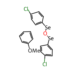 COc1ccccc1.Clc1ccc([Se]O[Se]c2ccc(Cl)cc2)cc1